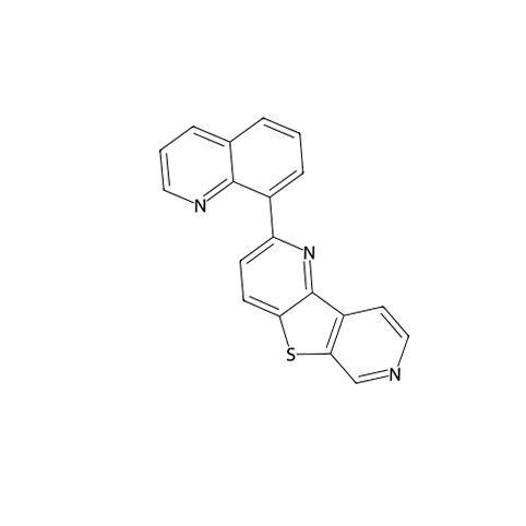 c1cnc2c(-c3ccc4sc5cnccc5c4n3)cccc2c1